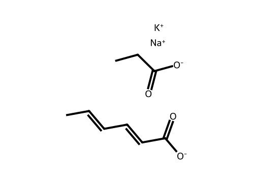 CC=CC=CC(=O)[O-].CCC(=O)[O-].[K+].[Na+]